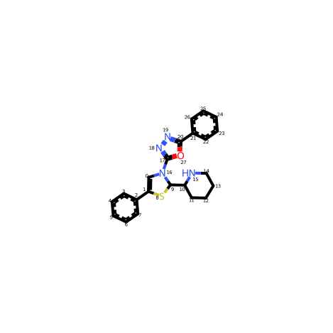 C1=C(c2ccccc2)SC(C2CCCCN2)N1c1nnc(-c2ccccc2)o1